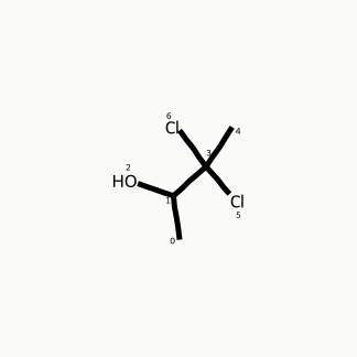 CC(O)C(C)(Cl)Cl